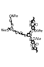 C/C=C1\C[C@H]2C=Nc3cc(OCc4cc(OCCOCCOCCN(CCOCCOCCOC)CC(C)(C)SC)cc(COc5cc6c(cc5OC)C(=O)N5C/C(=C/C)C[C@H]5C=N6)n4)c(OC)cc3C(=O)N2C1